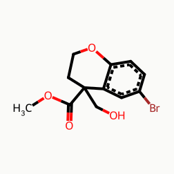 COC(=O)C1(CO)CCOc2ccc(Br)cc21